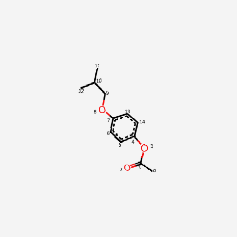 CC(=O)Oc1ccc(OCC(C)C)cc1